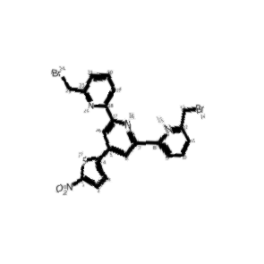 O=[N+]([O-])c1ccc(-c2cc(-c3cccc(CBr)n3)nc(-c3cccc(CBr)n3)c2)s1